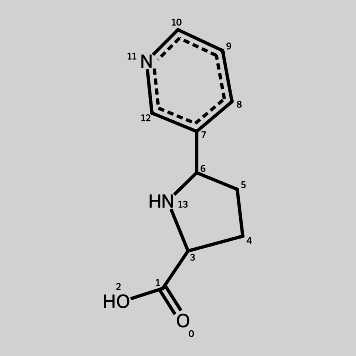 O=C(O)C1CCC(c2cccnc2)N1